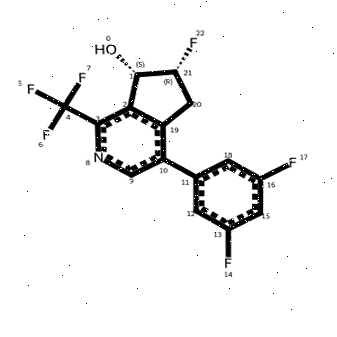 O[C@H]1c2c(C(F)(F)F)ncc(-c3cc(F)cc(F)c3)c2C[C@H]1F